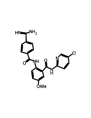 COc1ccc(NC(=O)c2ccc(C(=N)N)cc2)c(C(=O)Nc2ccc(Cl)cn2)c1